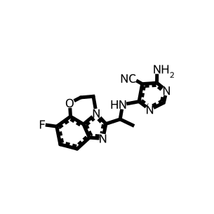 CC(Nc1ncnc(N)c1C#N)c1nc2ccc(F)c3c2n1CCO3